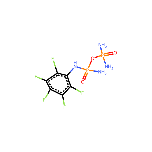 NP(N)(=O)OP(N)(=O)Nc1c(F)c(F)c(F)c(F)c1F